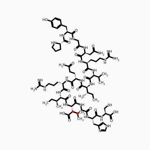 CC[C@H](C)[C@H](NC(=O)[C@H](CCCNC(=N)N)NC(=O)[C@H](CCC(N)=O)NC(=O)[C@@H](NC(=O)[C@@H](NC(=O)[C@H](CCCNC(=N)N)NC(=O)[C@H](CC(N)=O)NC(=O)CNC(=O)[C@H](Cc1ccc(O)cc1)NC(=O)[C@@H]1CCCN1)C(C)C)[C@@H](C)CC)C(=O)N[C@@H](CC(C)C)C(=O)N[C@@H](CCC(=O)O)C(=O)N[C@@H](Cc1c[nH]cn1)C(=O)N[C@@H](CS)C(=O)O